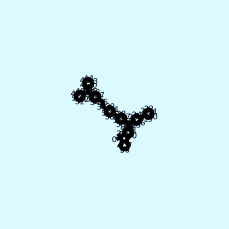 CC1(C)c2ccccc2-c2ccc(N(c3ccc(-c4ccccc4)cc3)c3ccc(-c4ccc(/C=C/c5ccc(N(c6ccccc6)c6ccccc6)cc5)cc4)cc3)cc21